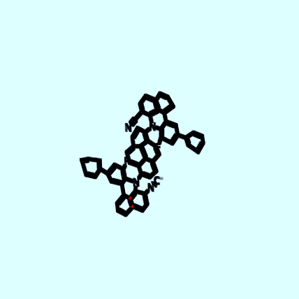 [C-]#[N+]c1ccccc1N(c1c(F)cc(-c2ccccc2)cc1-c1ccccc1)c1ccc2ccc3c(N(c4ccccc4C#N)c4c(F)cc(-c5ccccc5)cc4-c4ccccc4)ccc4ccc1c2c43